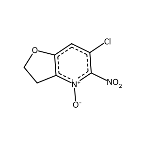 O=[N+]([O-])c1c(Cl)cc2c([n+]1[O-])CCO2